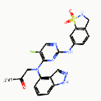 CNC(=O)CN(c1nc(Nc2ccc3c(c2)S(=O)(=O)NC3)ncc1F)c1cccc2[nH]ncc12